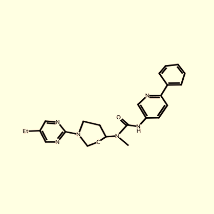 CCc1cnc(N2CCC(N(C)C(=O)Nc3ccc(-c4ccccc4)nc3)CC2)nc1